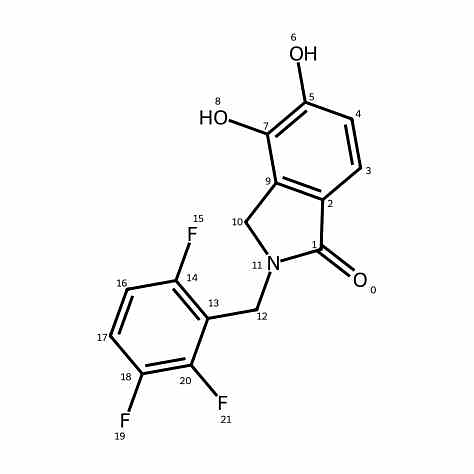 O=C1c2ccc(O)c(O)c2CN1Cc1c(F)ccc(F)c1F